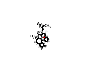 Cc1oc(=O)oc1COc1c2n(ccc1=O)N1[C@@H](c3ccccc3)c3cc(F)c(F)cc3CCC[C@@H]1N(C)C2=O